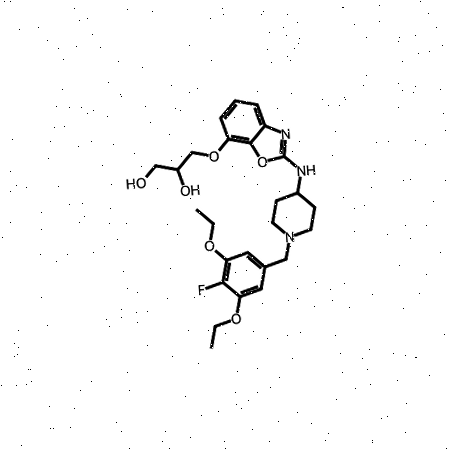 CCOc1cc(CN2CCC(Nc3nc4cccc(OCC(O)CO)c4o3)CC2)cc(OCC)c1F